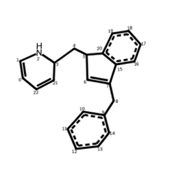 C1=CNC(CC2C=C(Cc3ccccc3)c3ccccc32)C=C1